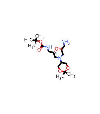 CC(C)(C)OC(=O)NC[C@H](O)CN(CCCN)C1COC(C)(C)OC1